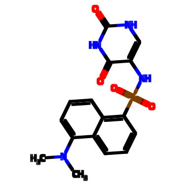 CN(C)c1cccc2c(S(=O)(=O)Nc3c[nH]c(=O)[nH]c3=O)cccc12